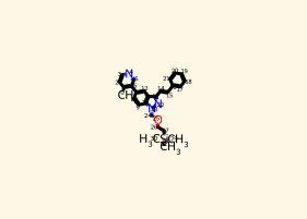 Cc1ccncc1-c1ccc2c(c1)c(/C=C/c1ccccc1)nn2COCC[Si](C)(C)C